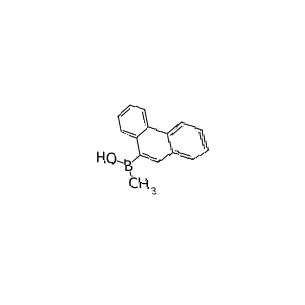 CB(O)c1cc2ccccc2c2ccccc12